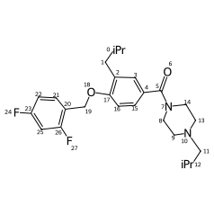 CC(C)Cc1cc(C(=O)N2CCN(CC(C)C)CC2)ccc1OCc1ccc(F)cc1F